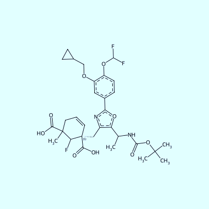 CC(NC(=O)OC(C)(C)C)c1oc(-c2ccc(OC(F)F)c(OCC3CC3)c2)nc1C[C@@]1(C(=O)O)C=CCC(C)(C(=O)O)C1F